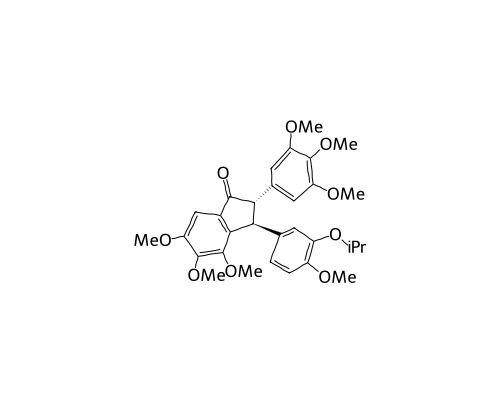 COc1ccc([C@H]2c3c(cc(OC)c(OC)c3OC)C(=O)[C@@H]2c2cc(OC)c(OC)c(OC)c2)cc1OC(C)C